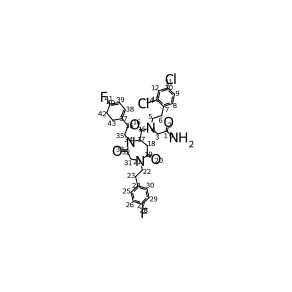 NC(=O)CN(CCc1ccc(Cl)cc1Cl)C(=O)C1CC(=O)N(CCc2ccc(F)cc2)CC(=O)N1CCC1=CC=C(F)CC1